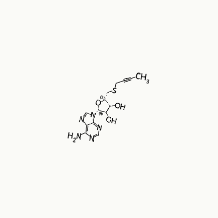 CC#CCSC[C@H]1O[C@@H](n2cnc3c(N)ncnc32)C(O)C1O